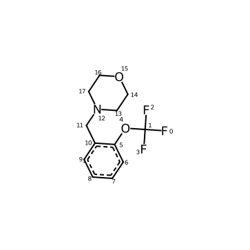 FC(F)(F)Oc1ccc[c]c1CN1CCOCC1